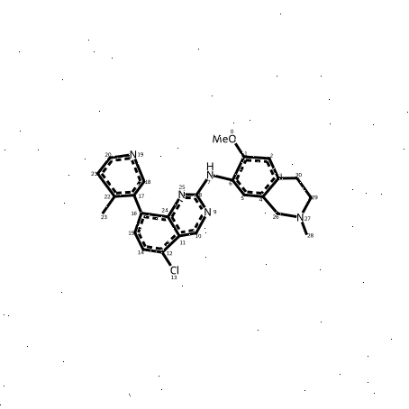 COc1cc2c(cc1Nc1ncc3c(Cl)ccc(-c4cnccc4C)c3n1)CN(C)CC2